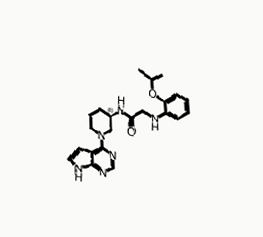 CC(C)Oc1ccccc1NCC(=O)N[C@@H]1CCCN(c2ncnc3[nH]ccc23)C1